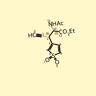 C#C[C@@H](C1=CS(=O)(=O)C=C1)[C@H](NC(C)=O)C(=O)OCC